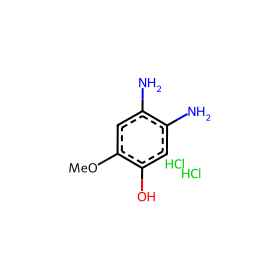 COc1cc(N)c(N)cc1O.Cl.Cl